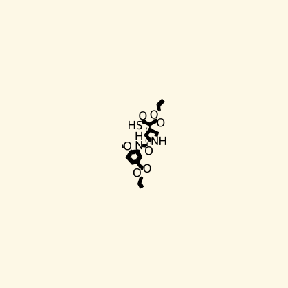 C=CCOC(=O)c1ccc(OC)c(NC(=O)[C@@H]2C[C@@H](C(C(=O)S)C(=O)OCC=C)CN2)c1